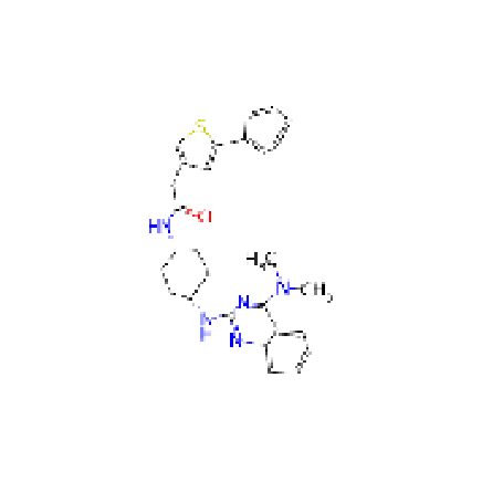 CN(C)c1nc(N[C@H]2CC[C@@H](NC(=O)Cc3csc(-c4ccccc4)c3)CC2)nc2ccccc12